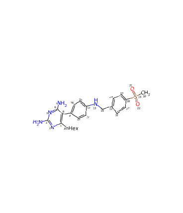 CCCCCCc1nc(N)nc(N)c1-c1ccc(NCc2ccc(S(C)(=O)=O)cc2)cc1